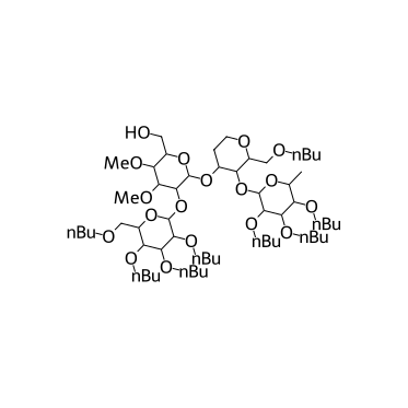 CCCCOCC1OCCC(OC2OC(CO)C(OC)C(OC)C2OC2OC(COCCCC)C(OCCCC)C(OCCCC)C2OCCCC)C1OC1OC(C)C(OCCCC)C(OCCCC)C1OCCCC